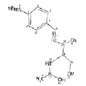 CCCCCc1ccc(/C=C/[C@H](O)C(CO)NB(C)O)cc1